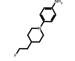 Nc1ccc(N2CCC(CCF)CC2)cc1